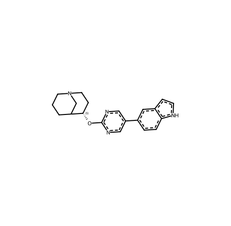 c1cc2cc(-c3cnc(O[C@H]4CCN5CCCC4C5)nc3)ccc2[nH]1